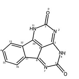 O=c1nc2[nH]c(=O)nc3c2c([nH]1)-c1ccccc1-3